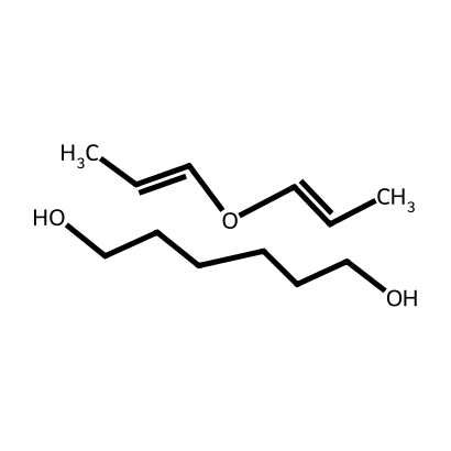 CC=COC=CC.OCCCCCCO